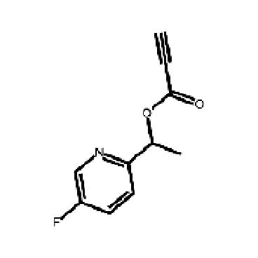 C#CC(=O)OC(C)c1ccc(F)cn1